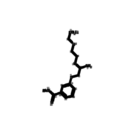 CCOC(=O)COCCOC(N)COc1cccc(C(=O)NC)c1